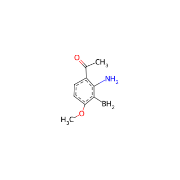 Bc1c(OC)ccc(C(C)=O)c1N